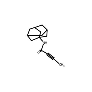 CC#CC(=O)NC12CC3CC(CC(C3)C1)C2